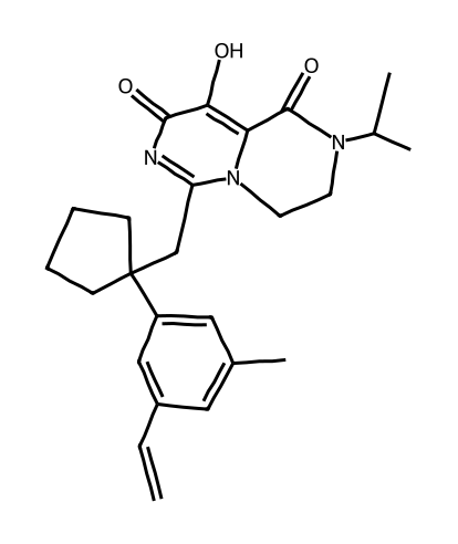 C=Cc1cc(C)cc(C2(Cc3nc(=O)c(O)c4n3CCN(C(C)C)C4=O)CCCC2)c1